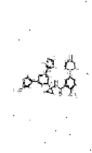 Cc1ccc(N2CCNCC2)cc1C(=O)NC1(c2cc(-c3cnn(C)c3)cc(-c3ccns3)c2)CC1